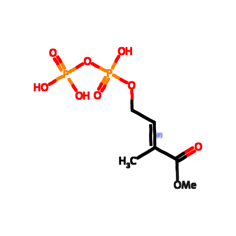 COC(=O)/C(C)=C/COP(=O)(O)OP(=O)(O)O